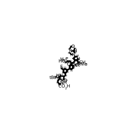 CCn1c(-c2cc(N3CCN4CCOC[C@@H]4C3)cnc2C(C)OC)c(CC(C)(C)CO)c2cc(-c3cc(CF)cc(CC(NC(=O)OC(C)(C)C)C(=O)N4CCC[C@@H](C(=O)O)N4)c3)ccc21